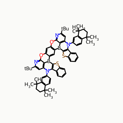 CC(C)(C)c1cc2c3c(n1)Oc1cc4c(cc1B3c1sc3ccccc3c1N2c1ccc2c(c1)C(C)(C)CCC2(C)C)B1c2sc3ccccc3c2N(c2ccc3c(c2)C(C)(C)CCC3(C)C)c2cc(C(C)(C)C)nc(c21)O4